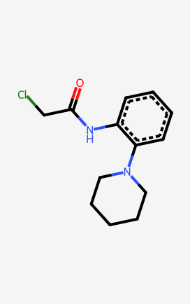 O=C(CCl)Nc1ccccc1N1CCCCC1